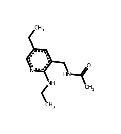 CCNc1ncc(CC)cc1CNC(C)=O